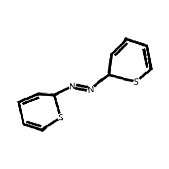 C1=CSC(N=NC2C=CC=CS2)C=C1